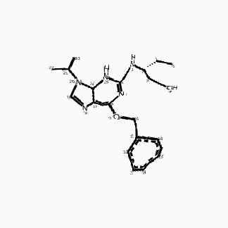 CC[C@H](CO)NC1=NC(OCc2ccccc2)=C2N=CN(C(C)C)C2N1